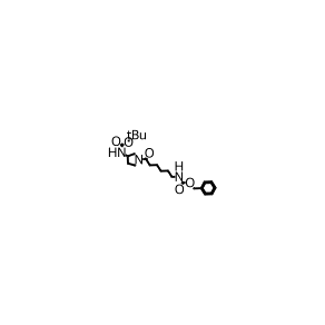 CC(C)(C)OC(=O)NC1CCN(C(=O)CCCCCNC(=O)OCc2ccccc2)C1